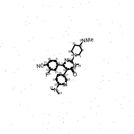 CNC1CCN(c2nc(-c3ccc(C#N)c(F)c3)c(-c3ccc(N(C)C)nc3)c(=O)n2C)CC1